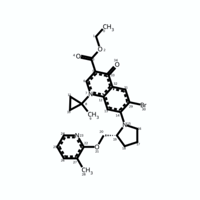 CCOC(=O)c1cn(C2(C)CC2)c2cc(N3CCC[C@@H]3COc3ncccc3C)c(Br)cc2c1=O